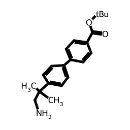 CC(C)(C)OC(=O)c1ccc(-c2ccc(C(C)(C)CN)cc2)cc1